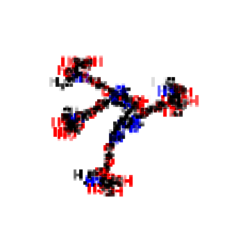 CC(=O)NC1C(OCCOCCOCCn2cc(CN(CCCC[C@@H](C(=O)O)N(Cc3cn(CCOCCOCCOC4OC(CO)C(O)C(O)C4NC(C)=O)nn3)Cc3cn(CCOCCOCCOC4OC5(CO)C(O)C(O)C45NC(C)=O)nn3)Cc3cn(CCOCCOCCOC4OC(CO)C(O)C(O)C4NC(C)=O)nn3)nn2)OC(CO)C(O)C1O